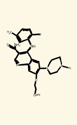 COCCOc1cc2ncc(C(N)=O)c(Nc3cc(C)ccc3F)c2cc1N1CCN(C(C)C)CC1